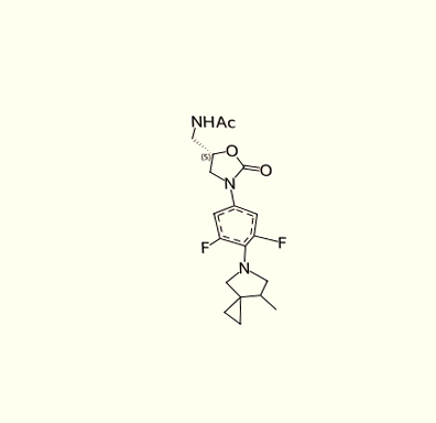 CC(=O)NC[C@H]1CN(c2cc(F)c(N3CC(C)C4(CC4)C3)c(F)c2)C(=O)O1